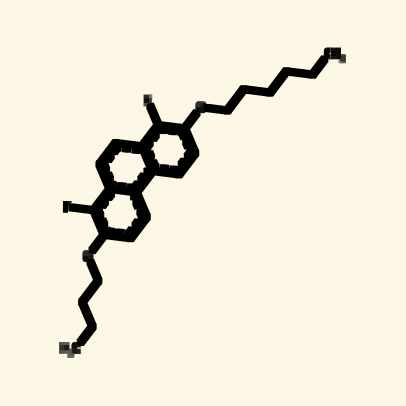 CCCCCCOc1ccc2c(ccc3c(F)c(OCCCC)ccc32)c1F